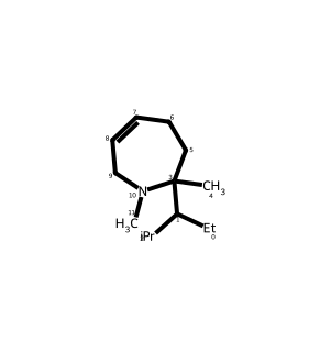 CCC(C(C)C)C1(C)CCC=CCN1C